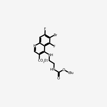 CCOC(=O)c1cnc2cc(F)c(Br)c(F)c2c1NCCNC(=O)OC(C)(C)C